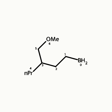 BCCC(CCC)COC